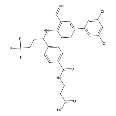 N=Cc1cc(-c2cc(Cl)cc(Cl)c2)ccc1NC(CCC(F)(F)F)c1ccc(C(=O)NCCC(=O)O)cc1